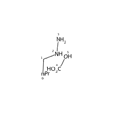 CCCCNN.O=C(O)O